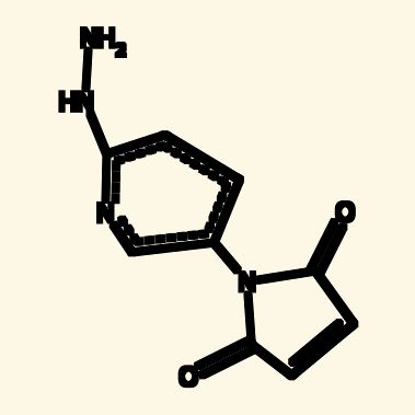 NNc1ccc(N2C(=O)C=CC2=O)cn1